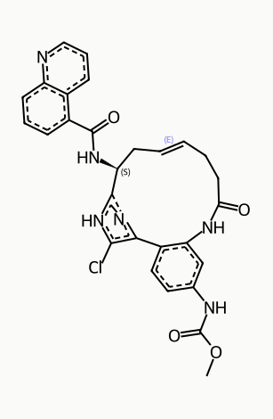 COC(=O)Nc1ccc2c(c1)NC(=O)CC/C=C/C[C@H](NC(=O)c1cccc3ncccc13)c1nc-2c(Cl)[nH]1